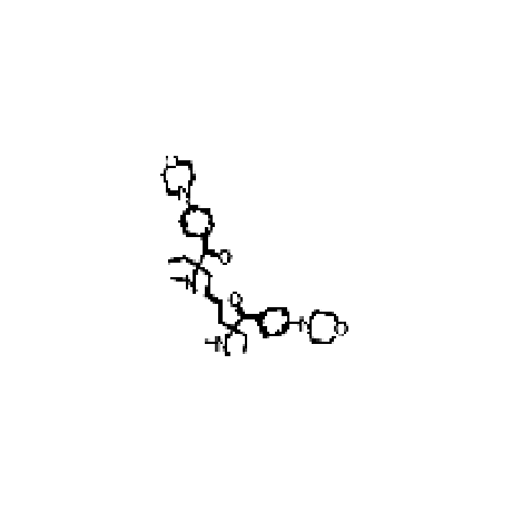 CCC(C/C=C/CC(CC)(C(=O)c1ccc(N2CCOCC2)cc1)N(C)C)(C(=O)c1ccc(N2CCOCC2)cc1)N(C)C